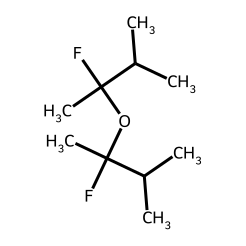 CC(C)C(C)(F)OC(C)(F)C(C)C